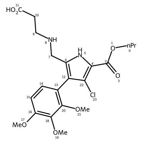 CCCOC(=O)c1[nH]c(CNCCC(=O)O)c(-c2ccc(OC)c(OC)c2OC)c1Cl